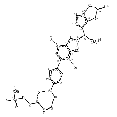 CC(C)(C)[Si](C)(C)OCC1CN(c2ccc(-c3cc(Cl)c4cn(C(C(=O)O)c5ncn6c5CC(F)C6)nc4c3Cl)cc2)CCO1